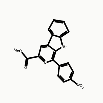 COC(=O)c1cc2c([nH]c3ccccc32)c(-c2ccc([N+](=O)[O-])cc2)n1